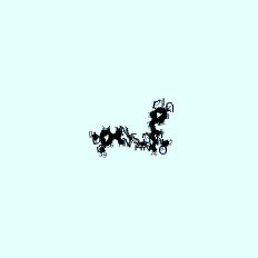 COc1ccc(-c2cnc(SCC(=O)NC(C)C3CC(Cc4ccc(Cl)c(Cl)c4)CN3C(C)=O)nc2)cc1OC